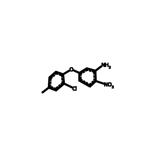 Cc1ccc(Oc2ccc([N+](=O)[O-])c(N)c2)c(Cl)c1